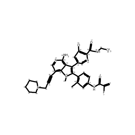 C=C(F)C(=O)Nc1ccc(-c2c(-c3cnc(C(=O)NCC(F)(F)F)c(Cl)c3)c3c(N)ncc(C#CCN4CCCCC4)c3n2C)c(C)c1